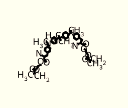 C=C(C)C(=O)OCCOC(=O)/C(C#N)=C/c1ccc(N(C)c2ccc(C(C)(C)c3ccc(N(C)c4ccc(/C=C(\C#N)C(=O)OCCOC(=O)C(=C)C)cc4)cc3)cc2)cc1